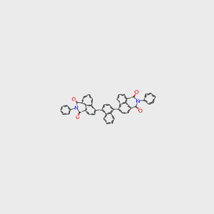 O=C1c2cccc3c(-c4ccc(-c5ccc6c7c(cccc57)C(=O)N(c5ccccc5)C6=O)c5ccccc45)ccc(c23)C(=O)N1c1ccccc1